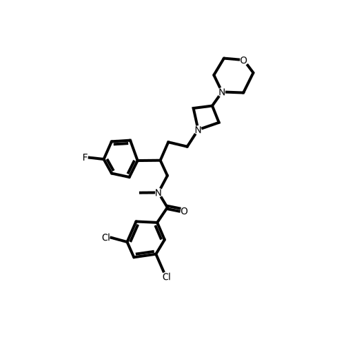 CN(CC(CCN1CC(N2CCOCC2)C1)c1ccc(F)cc1)C(=O)c1cc(Cl)cc(Cl)c1